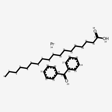 CCCCCCCCCCCCCCCCCC(=O)O.O=C(c1ccccc1)c1ccccc1.[Pr]